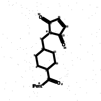 CCCC(C)C(=O)C1CCC(CN2C(=O)C=CC2=O)CC1